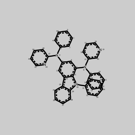 c1ccc(N(c2cc(N(c3ccccc3)c3cccnc3)c3c(c2)c2ccccc2n3-c2ccccc2)c2ccccn2)cc1